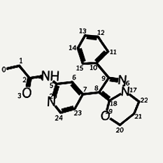 CCC(=O)Nc1cc(-c2c(-c3ccccc3)nn3c2OCCC3)ccn1